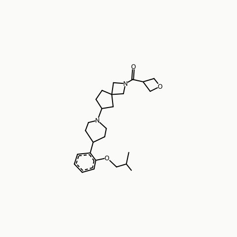 CC(C)COc1ccccc1C1CCN(C2CCC3(C2)CN(C(=O)C2COC2)C3)CC1